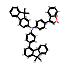 CC1(C)c2ccccc2-c2ccc(N(c3ccc(-c4cccc5c4-c4ccccc4C5(C)C)cc3)c3ccc(-c4coc5ccccc45)cc3)cc21